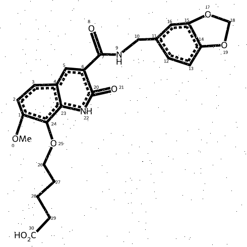 COc1ccc2cc(C(=O)NCc3ccc4c(c3)OCO4)c(=O)[nH]c2c1OCCCCC(=O)O